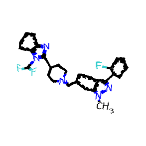 Cn1nc(-c2ccccc2F)c2ccc(CN3CCC(c4nc5ccccc5n4C(F)F)CC3)cc21